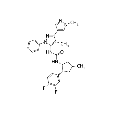 Cc1c(-c2cnn(C)c2)nn(-c2ccccc2)c1NC(=O)N[C@@H]1CC(C)C[C@H]1c1ccc(F)c(F)c1